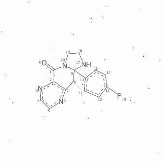 O=C1c2nccnc2CC2(c3ccc(F)cc3)NCCN12